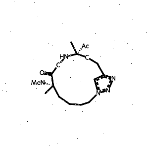 CN[C@@]1(C)CCCCn2cc(nn2)CC[C@@](C)(C(C)=O)NCC1=O